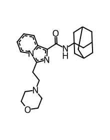 O=C(NC12CC3CC(CC(C3)C1)C2)c1nc(CCN2CCOCC2)n2ccccc12